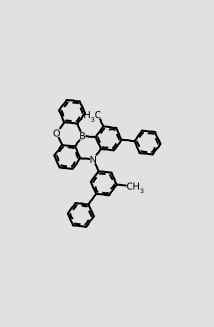 Cc1cc(-c2ccccc2)cc(N2c3cc(-c4ccccc4)cc(C)c3B3c4ccccc4Oc4cccc2c43)c1